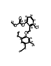 CCc1cc(CC)c(OCc2c(Cl)cccc2OC(=O)OC)cc1C